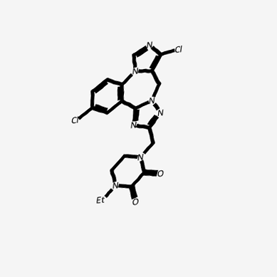 CCN1CCN(Cc2nc3n(n2)Cc2c(Cl)ncn2-c2ccc(Cl)cc2-3)C(=O)C1=O